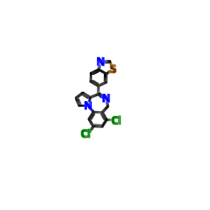 Clc1cc(Cl)c2c(c1)-n1cccc1C(c1ccc3ncsc3c1)=NC2